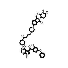 O=C1CCC(N2C(=O)c3ccc(N4CCN(CCCC(=O)N5CCCC(Nc6ncnc7[nH]cc(C(=O)c8ccc(Oc9ccccc9)cc8Cl)c67)C5)CC4)cc3C2=O)C(=O)N1